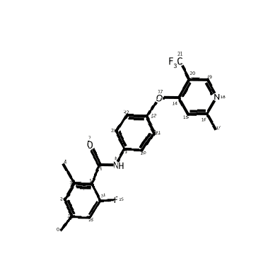 Cc1cc(C)c(C(=O)Nc2ccc(Oc3cc(C)ncc3C(F)(F)F)cc2)c(F)c1